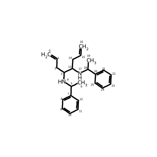 C=CCC(NC(C)c1ccccc1)C(CC=C)NC(C)c1ccccc1